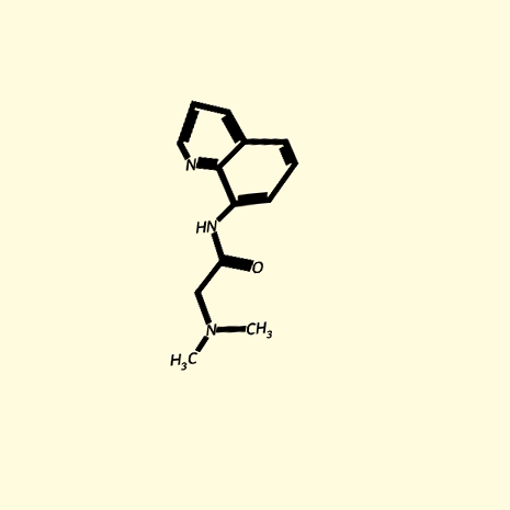 CN(C)CC(=O)Nc1cccc2cccnc12